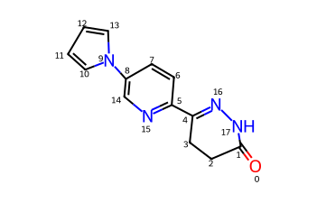 O=C1CCC(c2ccc(-n3cccc3)cn2)=NN1